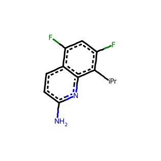 CC(C)c1c(F)cc(F)c2ccc(N)nc12